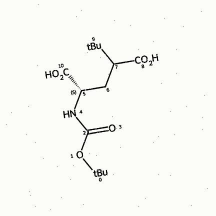 CC(C)(C)OC(=O)N[C@@H](CC(C(=O)O)C(C)(C)C)C(=O)O